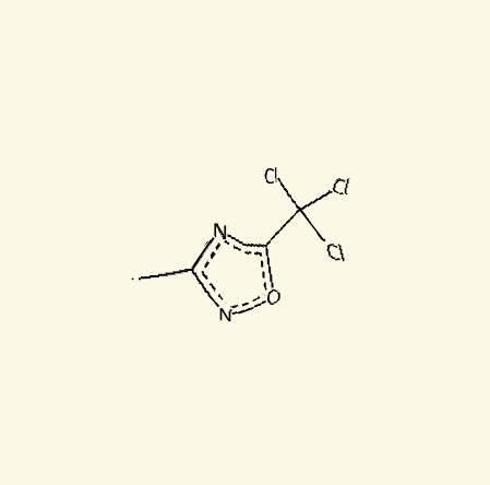 [CH2]c1noc(C(Cl)(Cl)Cl)n1